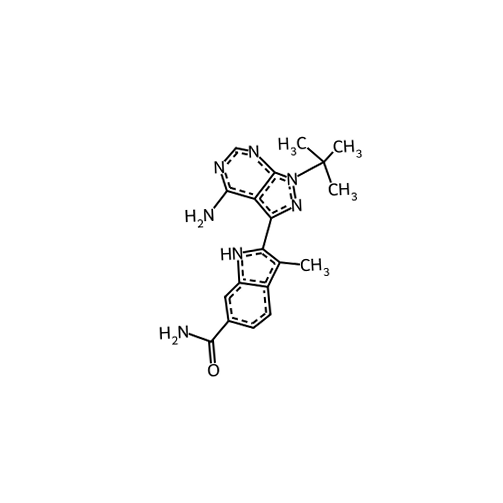 Cc1c(-c2nn(C(C)(C)C)c3ncnc(N)c23)[nH]c2cc(C(N)=O)ccc12